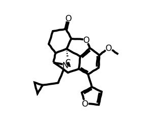 COc1cc(-c2ccoc2)c2c3c1OC1C(=O)CCC4C(C2)N(CC2CC2)CC[C@@]314